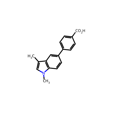 Cc1cn(C)c2ccc(-c3ccc(C(=O)O)cc3)cc12